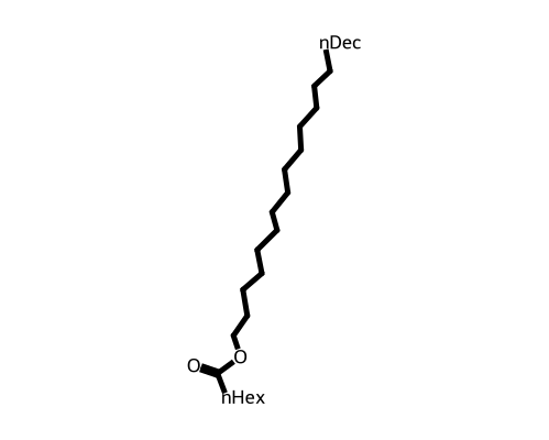 CCCCCCCCCCCCCCCCCCCCCCCCOC(=O)CCCCCC